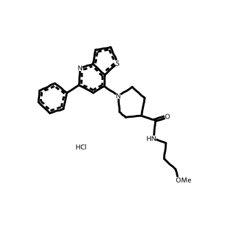 COCCCNC(=O)C1CCN(c2cc(-c3ccccc3)nc3ccsc23)CC1.Cl